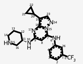 FC(F)(F)c1cccc(Nc2cc(N[C@H]3CCCNC3)nc3c(C4CC4)cnn23)c1